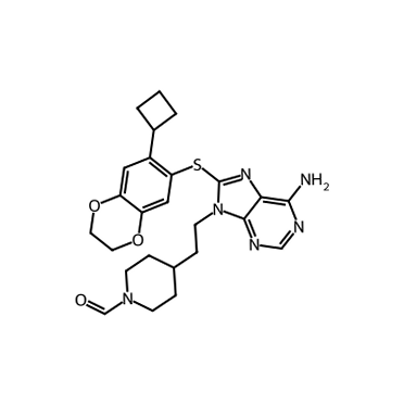 Nc1ncnc2c1nc(Sc1cc3c(cc1C1CCC1)OCCO3)n2CCC1CCN(C=O)CC1